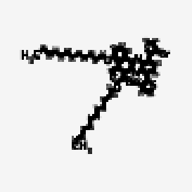 CCCCCCCCCCCCOc1cccc(-c2nc3c(-c4sccc4Br)ccc(-c4sccc4Br)c3nc2-c2cccc(OCCCCCCCCCCCC)c2)c1